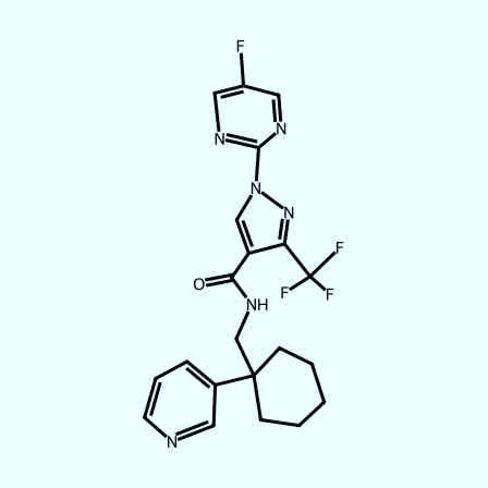 O=C(NCC1(c2cccnc2)CCCCC1)c1cn(-c2ncc(F)cn2)nc1C(F)(F)F